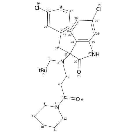 CC(C)(C)CN(CCC(=O)N1CCCCC1)C1(Cc2cccc(Cl)c2)C(=O)Nc2cc(Cl)ccc21